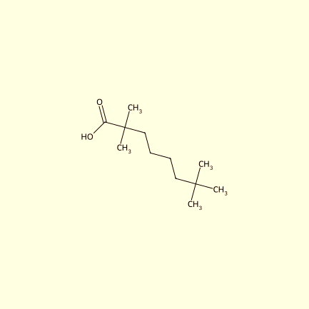 CC(C)(C)CCCCC(C)(C)C(=O)O